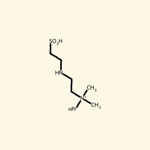 CCC[N+](C)(C)CCNCCS(=O)(=O)O